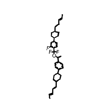 C/C=C/CCC1CCC(c2ccc(C(C)OC(F)(F)c3ccc(C4CCC(CC/C=C/C)CC4)cc3F)cc2)CC1